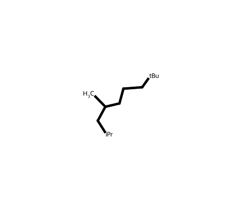 CC(C)CC(C)CCCC(C)(C)C